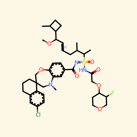 COC(/C=C/CC(C)C(C)S(=O)(=NC(=O)c1ccc2c(c1)N(C)CC1(CCCc3cc(Cl)ccc31)CO2)NC(=O)COC1CCOCC1F)C1CCC1C